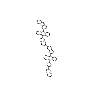 c1ccc2cc(-c3ccc(-c4c5ccccc5c(-c5ccc6ccc(-c7ccc8ccc(-c9c%10ccccc%10c(-c%10ccc%11oc%12ccccc%12c%11c%10)c%10ccccc9%10)cc8c7)cc6c5)c5ccccc45)cc3)ccc2c1